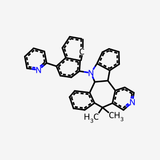 CC1(C)c2cnccc2C2c3ccccc3N(c3ccc(-c4ccccn4)c4ccccc34)C2c2ccccc21